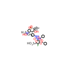 CCCC[C@]1(CC)CS(=O)(=O)c2ccc([N+](C)(C)O)cc2[C@@H](c2cccc(NC(=O)N[C@@H]3O[C@H](CS(=O)(=O)O)[C@@H](F)[C@H](OC(=O)c4ccccc4)[C@H]3OC(=O)c3ccccc3)c2)[C@H]1O